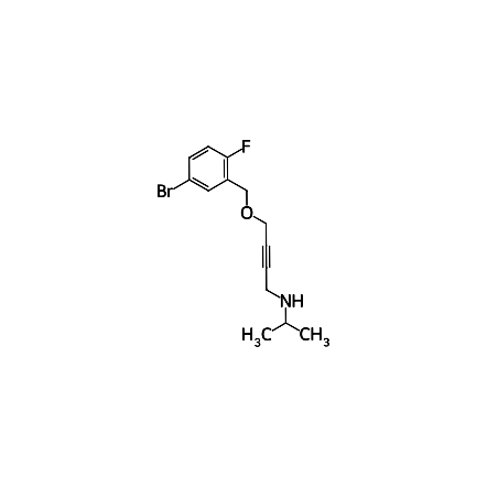 CC(C)NCC#CCOCc1cc(Br)ccc1F